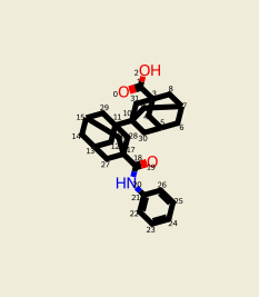 O=C(O)C12CC3CC(C1)CC(C14CC5CC(CC(C(=O)Nc6ccccc6)(C5)C1)C4)(C3)C2